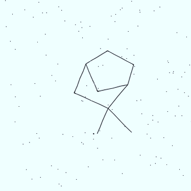 [CH2]C1(C)CC2CCC1C2